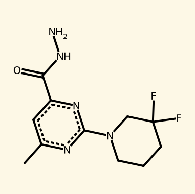 Cc1cc(C(=O)NN)nc(N2CCCC(F)(F)C2)n1